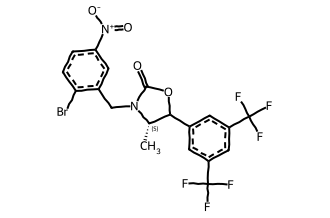 C[C@H]1C(c2cc(C(F)(F)F)cc(C(F)(F)F)c2)OC(=O)N1Cc1cc([N+](=O)[O-])ccc1Br